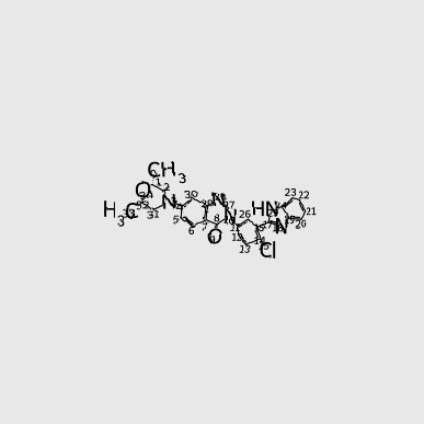 C[C@@H]1CN(c2ccc3c(=O)n(-c4ccc(Cl)c(-c5nc6ccccc6[nH]5)c4)cnc3c2)C[C@H](C)O1